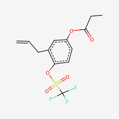 C=CCc1cc(OC(=O)CC)ccc1OS(=O)(=O)C(F)(F)F